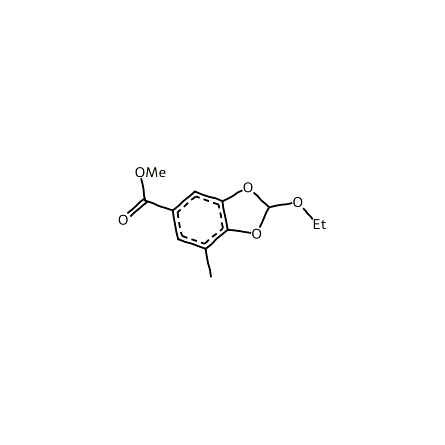 CCOC1Oc2cc(C(=O)OC)cc(C)c2O1